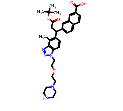 Cc1c(C(CC(=O)OC(C)(C)C)c2ccc3ccc(C(=O)O)cc3c2)ccc2c1nnn2CCOCCN1CCNCC1